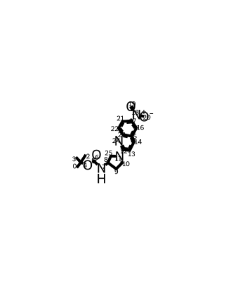 CC(C)(C)OC(=O)NC1CCN(c2ccc3cc([N+](=O)[O-])ccc3n2)C1